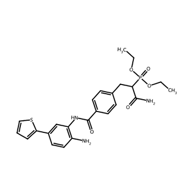 CCOP(=O)(OCC)C(Cc1ccc(C(=O)Nc2cc(-c3cccs3)ccc2N)cc1)C(N)=O